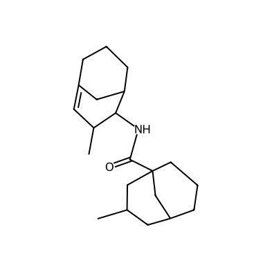 CC1CC2CCCC(C(=O)NC3C(C)C=C4CCCC3C4)(C1)C2